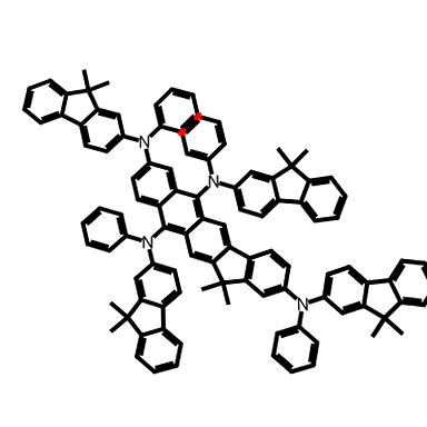 CC1(C)c2ccccc2-c2ccc(N(c3ccccc3)c3ccc4c(c3)C(C)(C)c3cc5c(N(c6ccccc6)c6ccc7c(c6)C(C)(C)c6ccccc6-7)c6ccc(N(c7ccccc7)c7ccc8c(c7)C(C)(C)c7ccccc7-8)cc6c(N(c6ccccc6)c6ccc7c(c6)C(C)(C)c6ccccc6-7)c5cc3-4)cc21